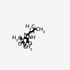 CC(C)=CCc1nc2c([nH]1)c(=O)n(C)c(=O)n2C